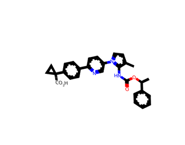 Cc1ccn(-c2ccc(-c3ccc(C4(C(=O)O)CC4)cc3)nc2)c1NC(=O)OC(C)c1ccccc1